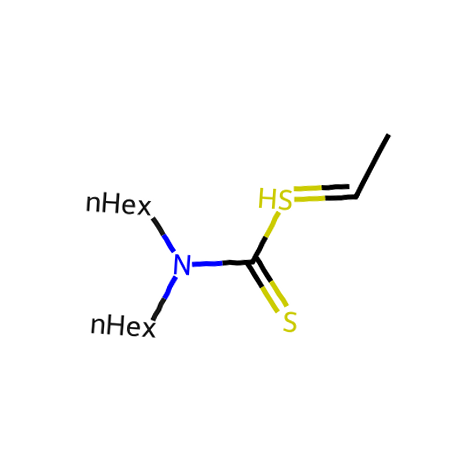 CC=[SH]C(=S)N(CCCCCC)CCCCCC